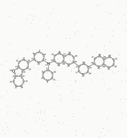 c1ccc(N(c2cccc(-c3ccc4oc5ccccc5c4c3)c2)c2ccc3ccc(-c4cccc(-c5ccc6ccccc6c5)c4)cc3c2)cc1